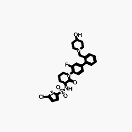 O=C1C(NS(=O)(=O)c2ccc(Cl)s2)CCCN1c1ccc(-c2ccccc2CN2CCC(O)CC2)cc1F